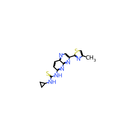 Cc1csc(-c2cnc3ccc(NC(=S)NC4CC4)nc3n2)n1